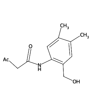 CC(=O)CC(=O)Nc1cc(C)c(C)cc1CO